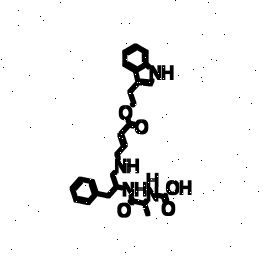 CC(NC(=O)O)C(=O)NC(CNCC=CC(=O)OCCc1c[nH]c2ccccc12)Cc1ccccc1